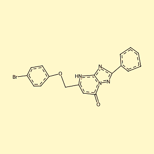 O=c1cc(COc2ccc(Br)cc2)[nH]c2nc(-c3ccccc3)nn12